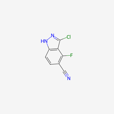 N#Cc1ccc2[nH]nc(Cl)c2c1F